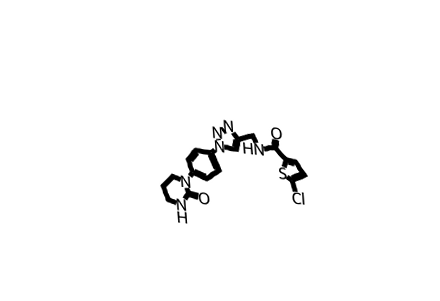 O=C(NCc1cn(-c2ccc(N3CCCNC3=O)cc2)nn1)c1ccc(Cl)s1